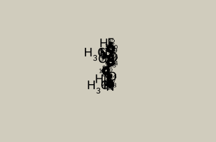 CNC(=O)C1c2cc(-c3cccc(C(=O)Nc4ccnn4C)c3)ccc2OC1c1ccc(F)cc1